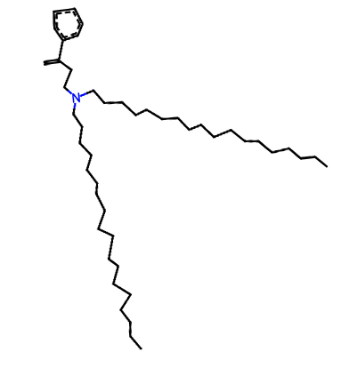 C=C(CCN(CCCCCCCCCCCCCCCCCC)CCCCCCCCCCCCCCCCCC)c1ccccc1